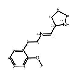 COc1ccccc1CCN=CC1CCCN1